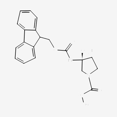 CC(C)(C)OC(=O)N1CC[C@](NC(=O)OCC2c3ccccc3-c3ccccc32)(C(=O)O)C1